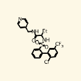 CCC(NS(=O)(=O)c1ccccc1-c1cc(C(F)(F)F)ccc1Cl)C(=O)NCc1ccncc1